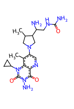 Cc1c(N2CC(C)C(C(N)CNC(N)=O)C2)cnc2c(=O)n(N)c(=O)n(C3CC3)c12